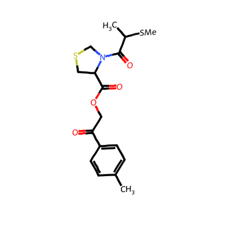 CSC(C)C(=O)N1CSCC1C(=O)OCC(=O)c1ccc(C)cc1